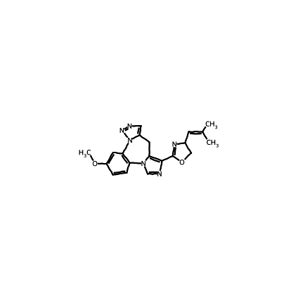 COc1ccc2c(c1)-n1nncc1Cc1c(C3=NC(C=C(C)C)CO3)ncn1-2